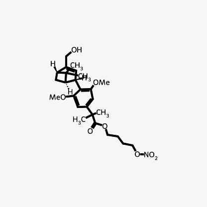 COc1cc(C(C)(C)C(=O)OCCCCO[N+](=O)[O-])cc(OC)c1[C@H]1C=C(CO)[C@H]2C[C@H]1C2(C)C